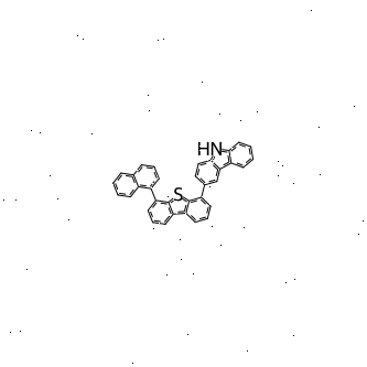 c1ccc2c(-c3cccc4c3sc3c(-c5ccc6[nH]c7ccccc7c6c5)cccc34)cccc2c1